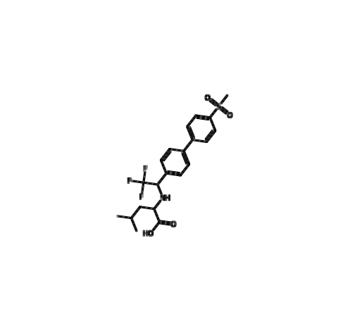 CC(C)CC(NC(c1ccc(-c2ccc(S(C)(=O)=O)cc2)cc1)C(F)(F)F)C(=O)O